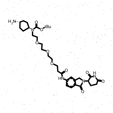 CC(C)(C)OC(=O)N(CCOCCOCCOCCC(=O)Nc1ccc2c(c1)CN(C1CCC(=O)NC1=O)C2=O)[C@H]1CC[C@@H](N)CC1